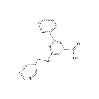 O=C(O)c1cc(NCc2cccnc2)nc(-c2ccccc2)n1